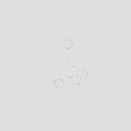 COc1ccc(CN2C(=O)c3cccc(N4CCN(Cc5cccnc5)CC4)c3C2=O)cc1OC